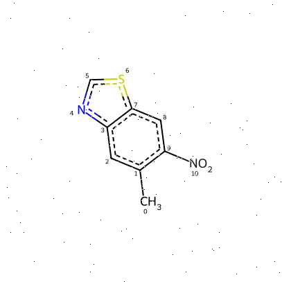 Cc1cc2ncsc2cc1[N+](=O)[O-]